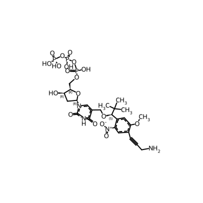 COc1cc([C@@H](OCc2cn([C@H]3C[C@@H](O)[C@@H](COP(=O)(O)OP(=O)(O)OP(=O)(O)O)O3)c(=O)[nH]c2=O)C(C)(C)C)c([N+](=O)[O-])cc1C#CCN